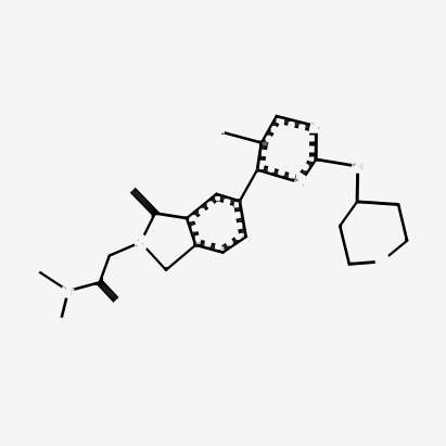 CN(C(=O)CN1Cc2ccc(-c3nc(NC4CCOCC4)ncc3Cl)cc2C1=O)C(C)(C)C